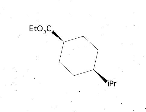 CCOC(=O)[C@H]1CC[C@@H](C(C)C)CC1